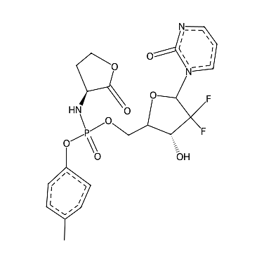 Cc1ccc(OP(=O)(N[C@H]2CCOC2=O)OCC2OC(n3cccnc3=O)C(F)(F)[C@@H]2O)cc1